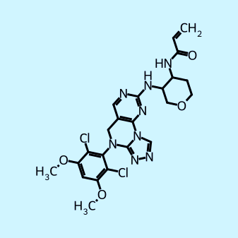 C=CC(=O)NC1CCOCC1Nc1ncc2c(n1)-n1cnnc1N(c1c(Cl)c(OC)cc(OC)c1Cl)C2